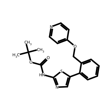 CC(C)(C)OC(=O)Nc1ncc(-c2ccccc2COc2ccncc2)s1